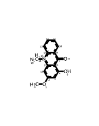 COc1cc(O)c2c(=O)c3ccccc3n(C)c2c1.[N]